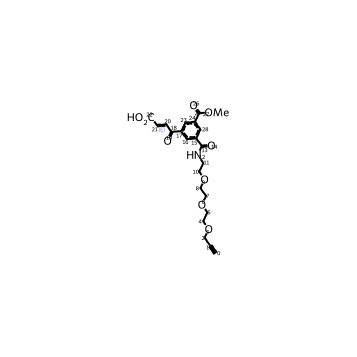 C#CCOCCOCCOCCNC(=O)c1cc(C(=O)/C=C/C(=O)O)cc(C(=O)OC)c1